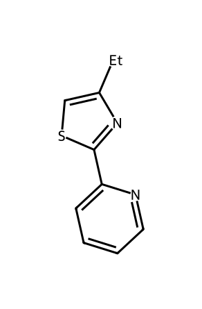 CCc1csc(-c2ccccn2)n1